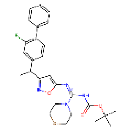 CC(c1ccc(-c2ccccc2)c(F)c1)c1cc(/N=C(/NC(=O)OC(C)(C)C)N2CCSCC2)on1